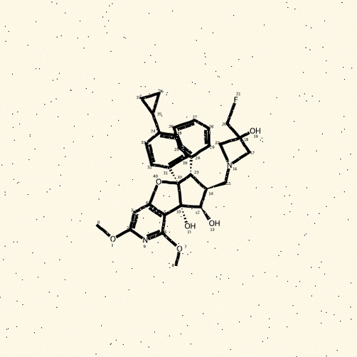 COc1cc2c(c(OC)n1)[C@]1(O)[C@H](O)[C@H](CN3CC(O)(CF)C3)[C@@H](c3ccccc3)[C@]1(c1ccc(C3CC3)cc1)O2